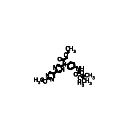 CCOCC(=O)N(c1cnc(-c2cnc(OC)nc2)cn1)[C@H]1CC[C@H](NC(=O)OC(C)(C)C)CC1